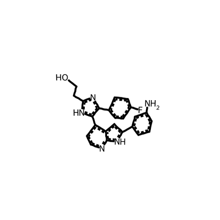 Nc1cccc(-c2cc3c(-c4[nH]c(CCO)nc4-c4ccc(F)cc4)ccnc3[nH]2)c1